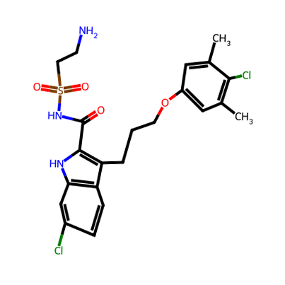 Cc1cc(OCCCc2c(C(=O)NS(=O)(=O)CCN)[nH]c3cc(Cl)ccc23)cc(C)c1Cl